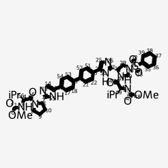 COC(=O)N[C@H](C(=O)N1CCC[C@H]1c1ncc(-c2ccc(-c3ccc(-c4cnc([C@@H]5CN(S(=O)(=O)c6ccccc6)CN5C(=O)[C@@H](NC(=O)OC)C(C)C)[nH]4)cc3)cc2)[nH]1)C(C)C